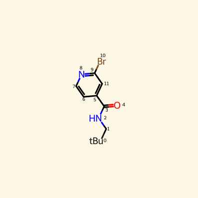 CC(C)(C)CNC(=O)c1ccnc(Br)c1